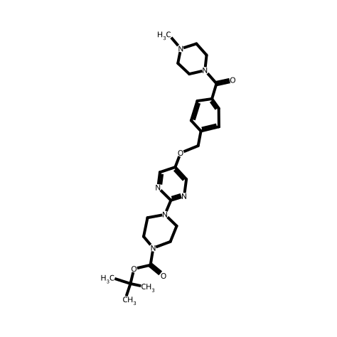 CN1CCN(C(=O)c2ccc(COc3cnc(N4CCN(C(=O)OC(C)(C)C)CC4)nc3)cc2)CC1